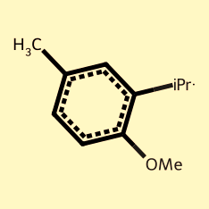 COc1ccc(C)cc1[C](C)C